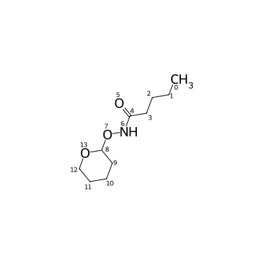 CCCCC(=O)NOC1CCCCO1